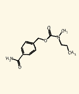 CCCN(C)C(=O)OCc1ccc(C(N)=O)cc1